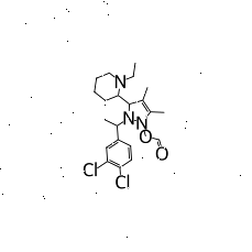 CCN1CCCCC1C1C(C)=C(C)N(OC=O)N1C(C)c1ccc(Cl)c(Cl)c1